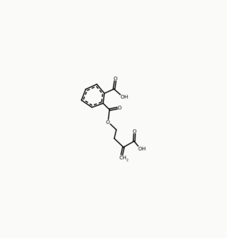 C=C(CCOC(=O)c1ccccc1C(=O)O)C(=O)O